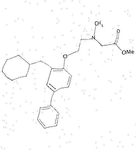 COC(=O)CN(C)CCOc1ccc(-c2ccccc2)cc1CC1CCCCC1